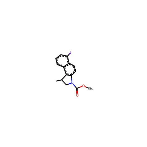 CC1CN(C(=O)OC(C)(C)C)c2ccc3c(I)cccc3c21